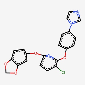 Clc1ccc(Oc2ccc3c(c2)OCO3)nc1Oc1ccc(-n2ccnc2)cc1